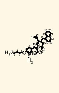 CCCCCOc1ccc(-c2sc3c(C4CC4)c(Cc4cccc5ccccc45)cc(=O)n3c2C(=O)O)cc1C